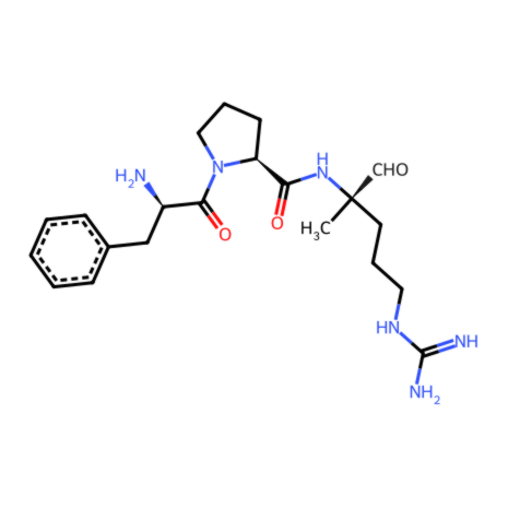 C[C@@](C=O)(CCCNC(=N)N)NC(=O)[C@@H]1CCCN1C(=O)[C@H](N)Cc1ccccc1